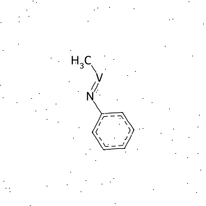 [CH3][V]=[N]c1ccccc1